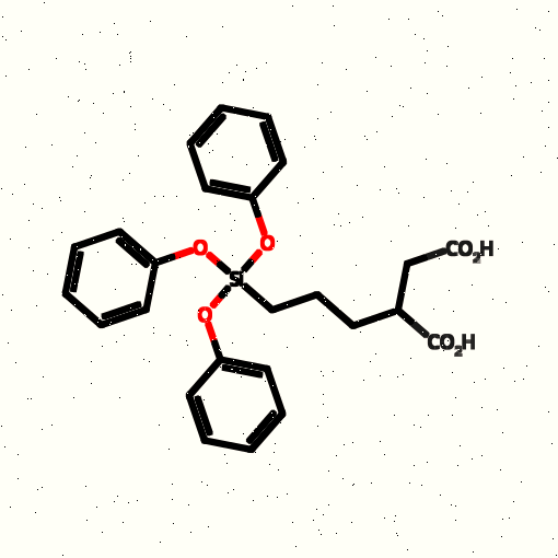 O=C(O)CC(CCC[Si](Oc1ccccc1)(Oc1ccccc1)Oc1ccccc1)C(=O)O